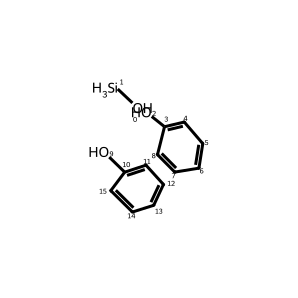 O[SiH3].Oc1ccccc1.Oc1ccccc1